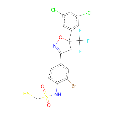 O=S(=O)(CS)Nc1ccc(C2=NOC(c3cc(Cl)cc(Cl)c3)(C(F)(F)F)C2)cc1Br